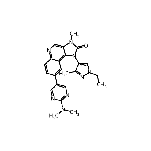 CCn1cc(-n2c(=O)n(C)c3cnc4ccc(-c5cnc(N(C)C)nc5)cc4c32)c(C)n1